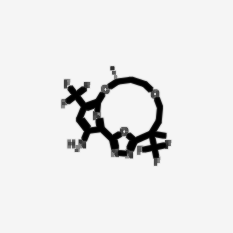 C[C@@H]1CCOCCC(C)(C(F)(F)F)c2nnc(o2)-c2nc(c(C(F)(F)F)cc2N)O1